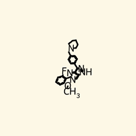 COc1cccc(F)c1-c1ncc2[nH]nc(-c3ccc(CN4CCCCC4)cc3)c2n1